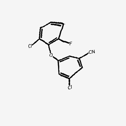 N#Cc1cc(Cl)cc(Oc2c(F)[c]ccc2Cl)c1